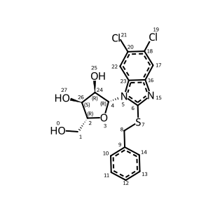 OC[C@H]1O[C@@H](n2c(SCc3ccccc3)nc3cc(Cl)c(Cl)cc32)[C@H](O)[C@@H]1O